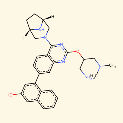 CN(C)CC(CN)Oc1nc(N2C[C@H]3CC[C@@H](C2)N3)c2ccc(-c3cc(O)cc4ccccc34)cc2n1